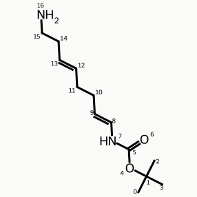 CC(C)(C)OC(=O)NC=CCCC=CCCN